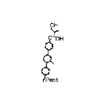 C=C(CO)C(O)Oc1ccc(-c2ccc(-c3ccc(CCCCC)cc3)c(C)c2)cc1